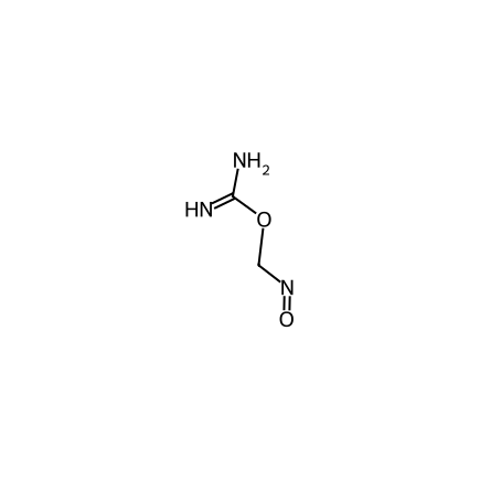 N=C(N)OCN=O